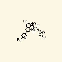 CC(C)(C)OC(=O)CNC(=O)c1c(O)c2cc(Br)cc3c2n(c1=O)CC(c1ccc(C(F)(F)F)nc1)C3